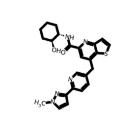 Cn1ccc(-c2ccc(Cc3cc(C(=O)N[C@H]4CCCC[C@@H]4O)nc4ccsc34)cn2)n1